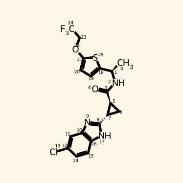 C[C@@H](NC(=O)[C@H]1C[C@@H]1c1nc2cc(Cl)ccc2[nH]1)c1ccc(OCC(F)(F)F)s1